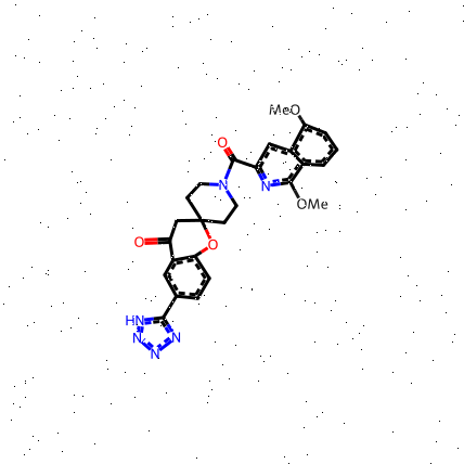 COc1cccc2c(OC)nc(C(=O)N3CCC4(CC3)CC(=O)c3cc(-c5nnn[nH]5)ccc3O4)cc12